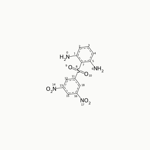 Nc1cccc(N)c1S(=O)(=O)c1cc([N+](=O)[O-])cc([N+](=O)[O-])c1